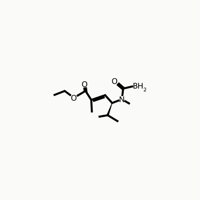 BC(=O)N(C)[C@H](/C=C(\C)C(=O)OCC)C(C)C